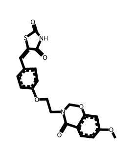 COc1ccc2c(c1)OCN(CCOc1ccc(C=C3SC(=O)NC3=O)cc1)C2=O